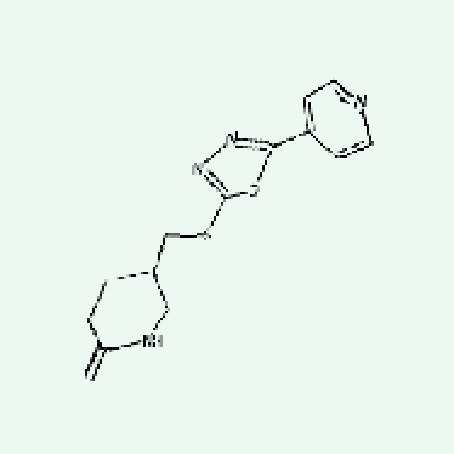 C=C1CCC(CSc2nnc(-c3ccncc3)o2)CN1